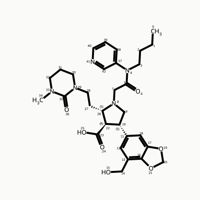 CCCCN(C(=O)CN1C[C@H](c2cc(CO)c3c(c2)OCO3)[C@@H](C(=O)O)[C@@H]1CCN1CCCN(C)C1=O)c1cccnc1